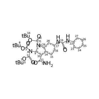 CC(C)(C)OC(=O)N(C(=O)OC(C)(C)C)c1c(C(N)=O)c2ccc(NC(=O)Nc3ccccc3)cc2n1C(=O)OC(C)(C)C